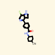 N#CC1CCC(NC(=O)c2ccc(-c3ncc(F)c4[nH]ccc34)cc2)CC1